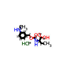 CCC(NC(=O)OCc1cccc(NC)c1)C(=O)O.Cl